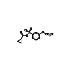 CCOC(=O)Oc1cccc(S(=O)(=O)OC(=O)C2CC2)c1